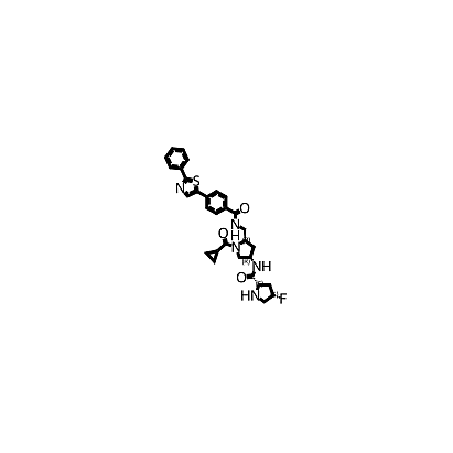 O=C(NC[C@H]1C[C@@H](NC(=O)[C@@H]2C[C@H](F)CN2)CN1C(=O)C1CC1)c1ccc(-c2cnc(-c3ccccc3)s2)cc1